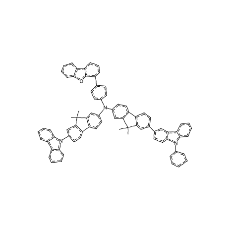 CC1(C)c2cc(-c3ccc4c(c3)c3ccccc3n4-c3ccccc3)ccc2-c2ccc(N(c3ccc(-c4cccc5c4oc4ccccc45)cc3)c3ccc4c(c3)C(C)(C)c3cc(-n5c6ccccc6c6ccccc65)ccc3-4)cc21